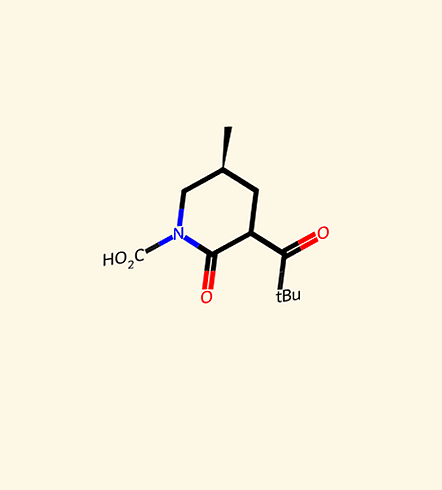 C[C@H]1CC(C(=O)C(C)(C)C)C(=O)N(C(=O)O)C1